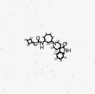 O=C(NC1CCCCC(N2CCC3(CC2)C(=O)Nc2ccccc23)C1)OC1CCC1